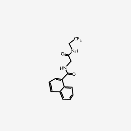 O=C(CNC(=O)c1cccc2ccccc12)NCC(F)(F)F